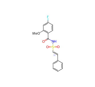 COc1cc(F)ccc1C(=O)NS(=O)(=O)/C=C/c1ccccc1